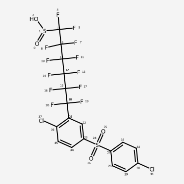 O=S(O)C(F)(F)C(F)(F)C(F)(F)C(F)(F)C(F)(F)C(F)(F)c1cc(S(=O)(=O)c2ccc(Cl)cc2)ccc1Cl